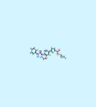 CCOC(=O)c1ccc(-c2cnc3c(c2)OCCN3C(=O)Nc2ccccc2)s1